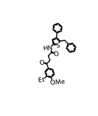 CCc1cc(C(=O)CCC(=O)Nc2cc(-c3ccccc3)c(Cc3ccccc3)s2)ccc1OC